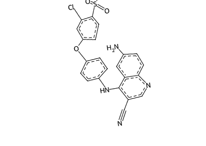 N#Cc1cnc2ccc(N)cc2c1Nc1ccc(Oc2ccc(S(=O)(=O)O)c(Cl)c2)cc1